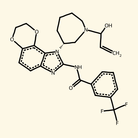 C=CC(O)N1CCCC[C@@H](n2c(NC(=O)c3cccc(C(F)(F)F)c3)nc3ccc4c(c32)OCCO4)C1